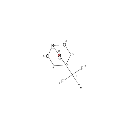 FC(F)(F)C12COB(OC1)OC2